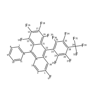 Fc1ccc2c(-c3ccccc3)c3c(F)c(F)c(F)c(F)c3c(-c3c(F)c(F)c(C(F)(F)F)c(F)c3F)c2c1